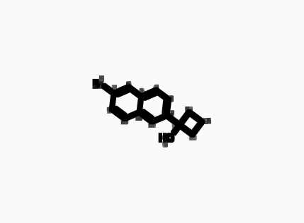 OC1(c2ccc3cc(Br)ccc3c2)CCC1